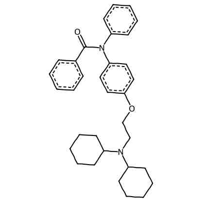 O=C(c1ccccc1)N(c1ccccc1)c1ccc(OCCN(C2CCCCC2)C2CCCCC2)cc1